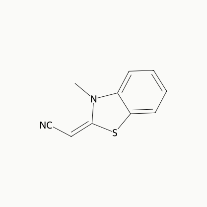 CN1/C(=C\C#N)Sc2ccccc21